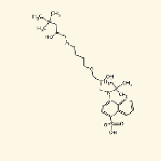 CC(C)(C)CC(O)COCCCCOCC(O)CN(c1ccc(S(=O)(=O)O)c2ccccc12)C(C)(C)C